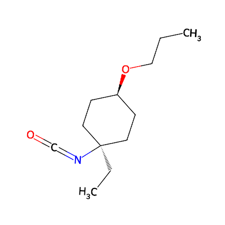 CCCO[C@H]1CC[C@@](CC)(N=C=O)CC1